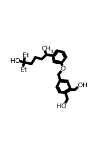 CCC(O)(CC)CCCC(C)c1cccc(OCc2ccc(CO)c(CO)c2)c1